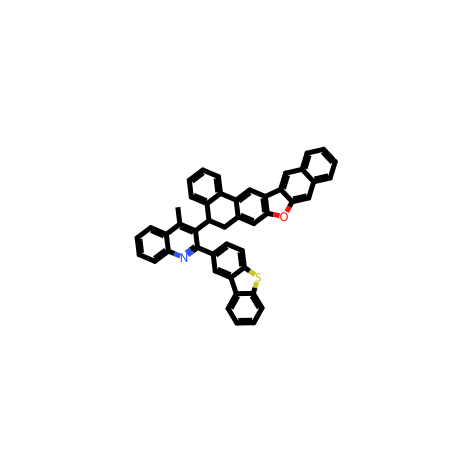 Cc1c(C2Cc3cc4oc5cc6ccccc6cc5c4cc3-c3ccccc32)c(-c2ccc3sc4ccccc4c3c2)nc2ccccc12